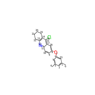 Cc1cc(C)cc(Oc2ccc3nc4c(c(Cl)c3c2)CCCC4)c1